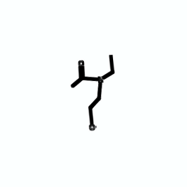 CCN(CC[O])C(C)=O